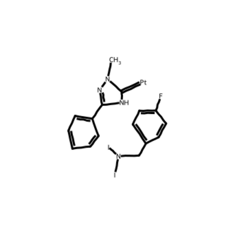 Cn1nc(-c2ccccc2)[nH][c]1=[Pt].Fc1ccc(CN(I)I)cc1